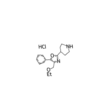 CCOCc1nc(C2CCNCC2)oc1-c1ccccc1.Cl